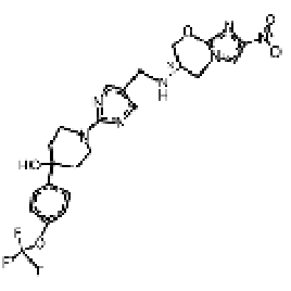 O=[N+]([O-])c1cn2c(n1)OC[C@@H](NCc1cnc(N3CCC(O)(c4ccc(OC(F)(F)F)cc4)CC3)nc1)C2